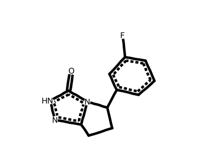 O=c1[nH]nc2n1C(c1cccc(F)c1)CC2